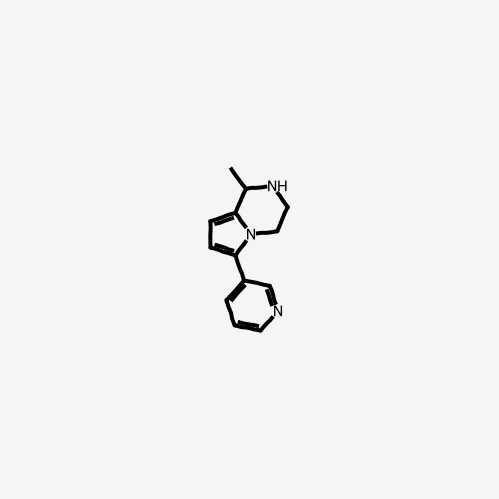 CC1NCCn2c(-c3cccnc3)ccc21